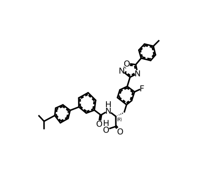 Cc1ccc(-c2nc(-c3ccc(C[C@@H](NC(=O)c4cccc(-c5ccc(C(C)C)cc5)c4)C(=O)O)cc3F)no2)cc1